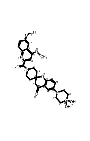 COc1ccc2nc(C(=O)N3CCC4(CC3)CC(=O)c3cc(N5CCS(O)(O)CC5)ccc3O4)cc(OC)c2c1